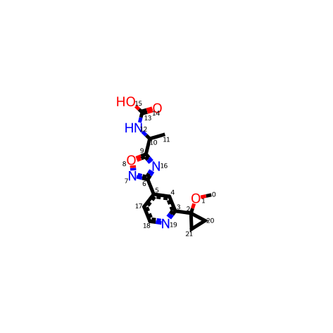 COC1(c2cc(-c3noc(C(C)NC(=O)O)n3)ccn2)CC1